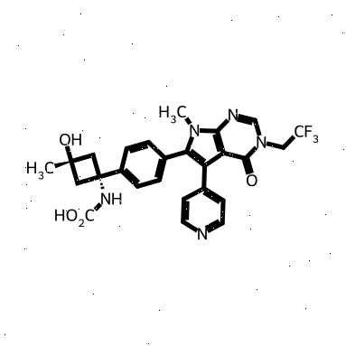 Cn1c(-c2ccc([C@]3(NC(=O)O)C[C@@](C)(O)C3)cc2)c(-c2ccncc2)c2c(=O)n(CC(F)(F)F)cnc21